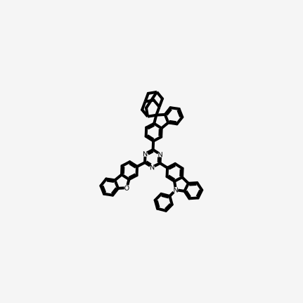 c1ccc(-n2c3ccccc3c3ccc(-c4nc(-c5ccc6c(c5)-c5ccccc5C65C6CC7CC(C6)CC5C7)nc(-c5ccc6c(c5)oc5ccccc56)n4)cc32)cc1